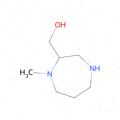 CN1CCCNCC1CO